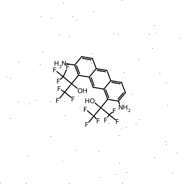 Nc1ccc2cc3ccc(N)c(C(O)(C(F)(F)F)C(F)(F)F)c3cc2c1C(O)(C(F)(F)F)C(F)(F)F